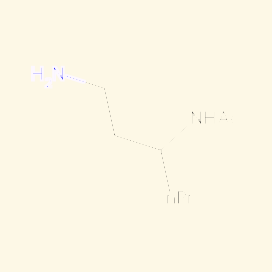 CCCC(CCN)NC(C)=O